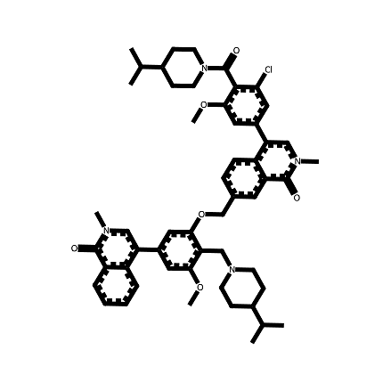 COc1cc(-c2cn(C)c(=O)c3ccccc23)cc(OCc2ccc3c(-c4cc(Cl)c(C(=O)N5CCC(C(C)C)CC5)c(OC)c4)cn(C)c(=O)c3c2)c1CN1CCC(C(C)C)CC1